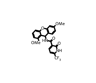 COc1ccc2c(c1)Oc1cccc(OC)c1C2NC(=O)c1ccc(C(F)(F)F)[nH]c1=O